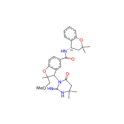 COCC1(C)Oc2ccc(C(=O)N[C@H]3CC(C)(C)Oc4ccccc43)cc2C1N1C(=N)NC(C)(C)CC1=O